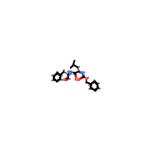 CC(C)C[C@H](NC(=O)OCc1ccccc1)C(=O)N[C@H](C=O)Cc1ccccc1